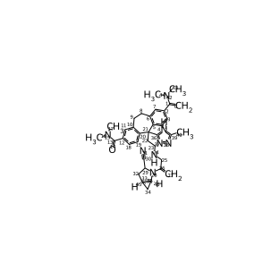 C=C(c1ccc2c(c1)CCc1cc(C(=O)N(C)C)ccc1C2(CCNCC(=C)N1C(C#N)C[C@@H]2C[C@@H]21)c1nnc(C)[nH]1)N(C)C